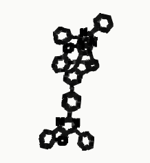 c1ccc(-c2nc(-c3ccccc3)nc(-c3cccc4c3C3(c5ccccc5Oc5ccccc53)c3ccc(-c5ccc(-c6nc(-c7ccccc7)c7oc8ccccc8c7n6)cc5)cc3-4)n2)cc1